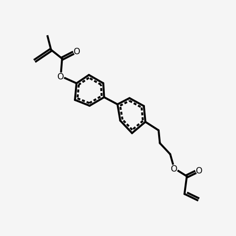 C=CC(=O)OCCCc1ccc(-c2ccc(OC(=O)C(=C)C)cc2)cc1